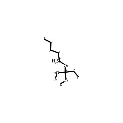 CCCC[SiH2]OC(CC)(OC)OC